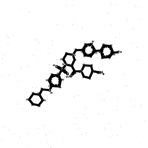 NC1CCN(C(=O)C2CN(Cc3ccc(-c4ccc(F)cc4)nc3)CCN2S(=O)(=O)c2ccc(OCC3CCCCC3)cc2)CC1